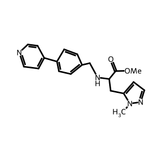 COC(=O)C(Cc1ccnn1C)NCc1ccc(-c2ccncc2)cc1